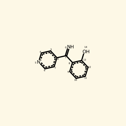 N=C(c1ccncc1)c1ccccc1O